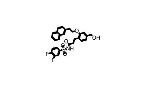 O=C(CCc1ccc(CO)cc1OCCc1ccc2ccccc2c1)NS(=O)(=O)c1ccc(F)c(F)c1